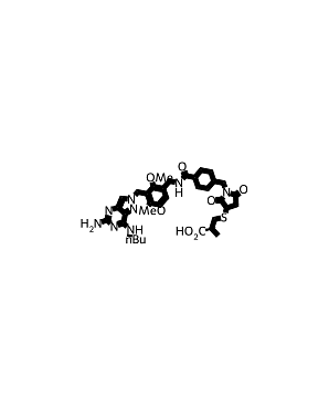 CCCCNc1nc(N)nc2cn(Cc3c(OC)ccc(CNC(=O)C4CCC(CN5C(=O)CC(SC[C@@H](C)C(=O)O)C5=O)CC4)c3OC)nc12